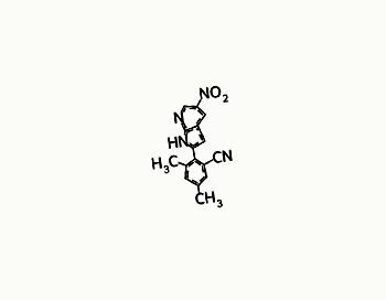 Cc1cc(C)c(-c2cc3cc([N+](=O)[O-])cnc3[nH]2)c(C#N)c1